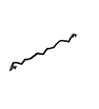 CC(C)CCCCCCCCCCC(C)C